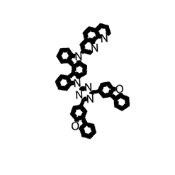 c1cnc2c(c1)ccc1cc(-n3c4ccccc4c4c5c6ccccc6n(-c6nc(-c7ccc8oc9ccccc9c8c7)nc(-c7ccc8oc9ccccc9c8c7)n6)c5ccc43)cnc12